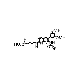 COc1cc(OC)cc(-c2cc3cnc(NCCCCNC(=O)O)nc3nc2NC(=O)NC(C)(C)C)c1